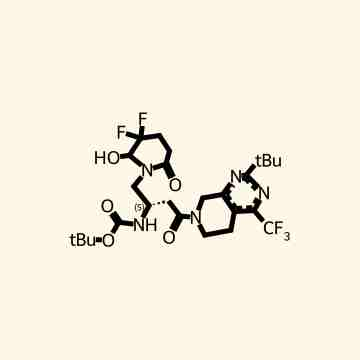 CC(C)(C)OC(=O)N[C@@H](CC(=O)N1CCc2c(nc(C(C)(C)C)nc2C(F)(F)F)C1)CN1C(=O)CCC(F)(F)C1O